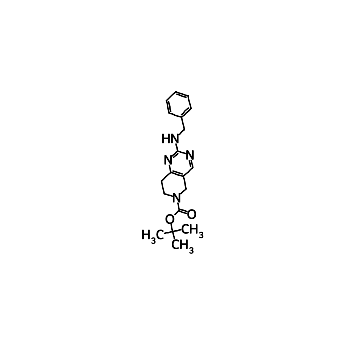 CC(C)(C)OC(=O)N1CCc2nc(NCc3ccccc3)ncc2C1